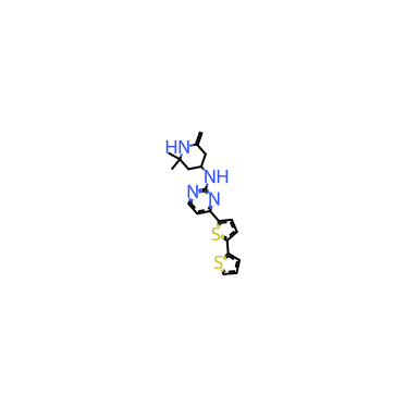 C=C1CC(Nc2nccc(-c3ccc(-c4cccs4)s3)n2)CC(C)(C)N1